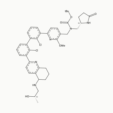 COc1nc(-c2cccc(-c3cccc(-c4ccc5c(n4)CCCC5NC[C@H](C)O)c3Cl)c2Cl)ccc1CN(C[C@@H]1CCC(=O)N1)C(=O)OC(C)(C)C